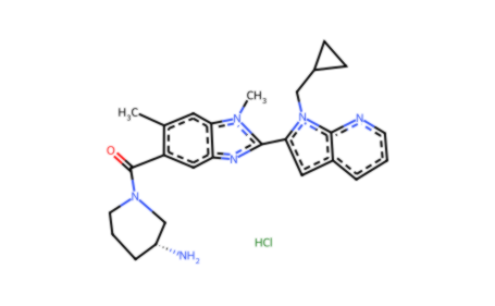 Cc1cc2c(cc1C(=O)N1CCC[C@@H](N)C1)nc(-c1cc3cccnc3n1CC1CC1)n2C.Cl